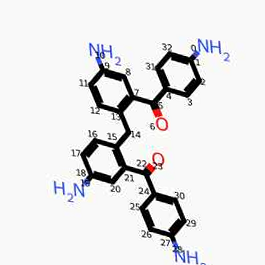 Nc1ccc(C(=O)c2cc(N)ccc2Cc2ccc(N)cc2C(=O)c2ccc(N)cc2)cc1